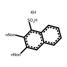 CCCCCCCCCc1cc2ccccc2c(S(=O)(=O)O)c1CCCCCCCCC.[KH]